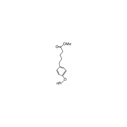 CCCOc1ccc(CCCCC(=O)OC)cc1